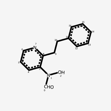 O=CN(O)c1cccnc1CCc1ccccc1